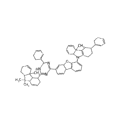 CC12C=CC=CC1N(c1cccc3c1OC1C=C(C4=NC(C5=CC=CCC5)NC(C5CC=CC6C5C5(C)C=CCCC5C6(C)C)=N4)C=CC31)C1=C2CC(C2=CC=CCC2)CC1